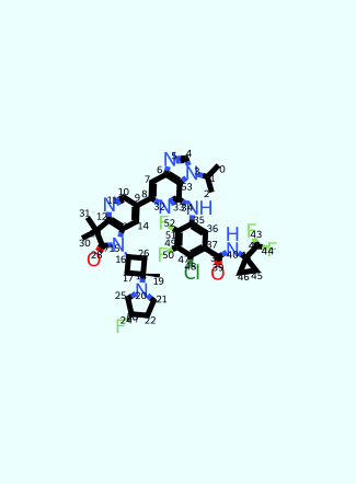 CC(C)n1cnc2cc(-c3cnc4c(c3)N([C@H]3C[C@@](C)(N5CC[C@@H](F)C5)C3)C(=O)C4(C)C)nc(Nc3cc(C(=O)NC4(C(F)F)CC4)c(Cl)c(F)c3F)c21